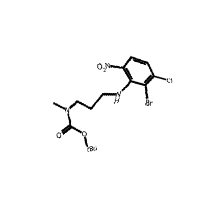 CN(CCCNc1c([N+](=O)[O-])ccc(Cl)c1Br)C(=O)OC(C)(C)C